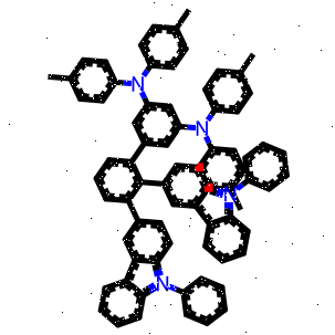 Cc1ccc(N(c2ccc(C)cc2)c2cc(-c3cccc(-c4ccc5c(c4)c4ccccc4n5-c4ccccc4)c3-c3ccc4c(c3)c3ccccc3n4-c3ccccc3)cc(N(c3ccc(C)cc3)c3ccc(C)cc3)c2)cc1